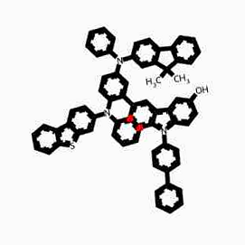 CC1(C)c2ccccc2-c2ccc(N(c3ccccc3)c3ccc(N(c4ccccc4)c4ccc5c(c4)sc4ccccc45)c(-c4ccc5c(c4)c4cc(O)ccc4n5-c4ccc(-c5ccccc5)cc4)c3)cc21